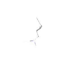 C/C=C/CN(CCCCCCCC)CCCCCCCC